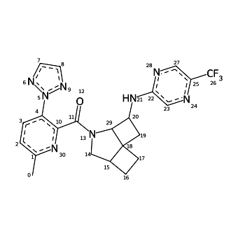 Cc1ccc(-n2nccn2)c(C(=O)N2CC3CCC34CC(Nc3cnc(C(F)(F)F)cn3)C24)n1